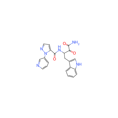 NC(=O)C(=O)C(Cc1c[nH]c2ccccc12)NC(=O)c1ccnn1-c1cccnc1